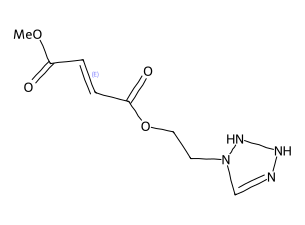 COC(=O)/C=C/C(=O)OCCN1C=NNN1